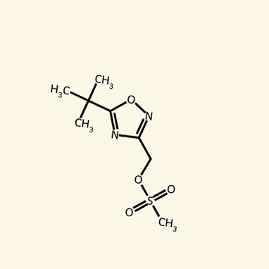 CC(C)(C)c1nc(COS(C)(=O)=O)no1